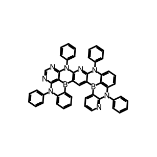 c1ccc(N2c3cccc4c3B(c3cccnc32)c2cc3c(nc2N4c2ccccc2)N(c2ccccc2)c2ncnc4c2B3c2ccccc2N4c2ccccc2)cc1